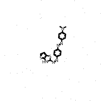 CN(C)c1ccc(N=Nc2ccc(/N=N\C3Nc4sccc4S3)cc2)cc1